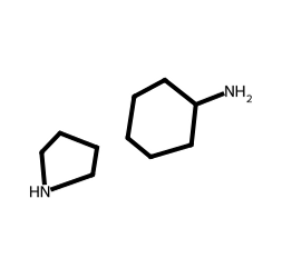 C1CCNC1.NC1CCCCC1